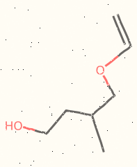 C=COCC(C)CCO